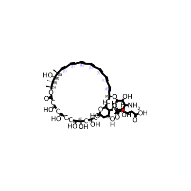 CC1OC(O[C@H]2/C=C/C=C/C=C/C=C/C=C/C=C/C=C/[C@H](C)[C@@H](O)[C@@H](C)[C@H](C)OC(=O)C[C@H](O)C[C@H](O)CC[C@@H](O)[C@H](O)C[C@H](O)C[C@]3(O)C[C@H](O)C(NC(=O)NCCC(=O)O)[C@H](C2)O3)C(O)C(N)C1O